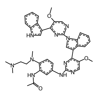 COc1cnc(-n2cc(-c3nc(Nc4ccc(N(C)CCN(C)C)c(NC(C)=O)c4)ncc3OC)c3ccccc32)nc1-c1c[nH]c2ccccc12